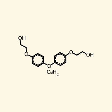 OCCOc1ccc(Oc2ccc(OCCO)cc2)cc1.[CaH2]